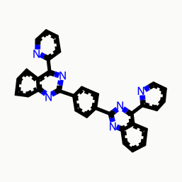 c1ccc(-c2nc(-c3ccc(-c4nc(-c5ccccn5)c5ccccc5n4)cc3)nc3ccccc23)nc1